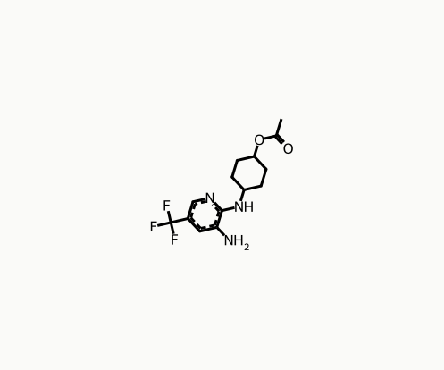 CC(=O)OC1CCC(Nc2ncc(C(F)(F)F)cc2N)CC1